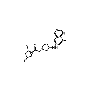 C[C@@H]1C[C@H](F)CN1C(=O)CN1CC[C@@H](Nc2cc(F)c3ncccc3c2)C1